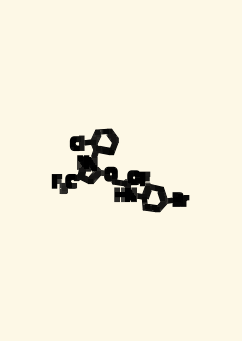 O=C(COc1cc(C(F)(F)F)nn1-c1ccccc1Cl)Nc1ccc(Br)cc1F